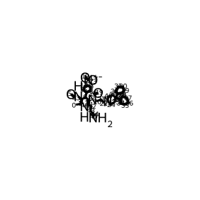 CC1=C(NC=O)C(c2ccc([N+](=O)[O-])cc2)C(N(C=O)CCCN2CCC(c3ccccc3)(c3ccccc3)CC2)=C(CCCN)N1